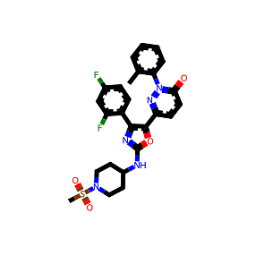 Cc1ccccc1-n1nc(-c2oc(NC3CCN(S(C)(=O)=O)CC3)nc2-c2ccc(F)cc2F)ccc1=O